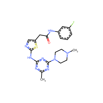 Cc1nc(Nc2ncc(CC(=O)Nc3cccc(F)c3)s2)nc(N2CCN(C)CC2)n1